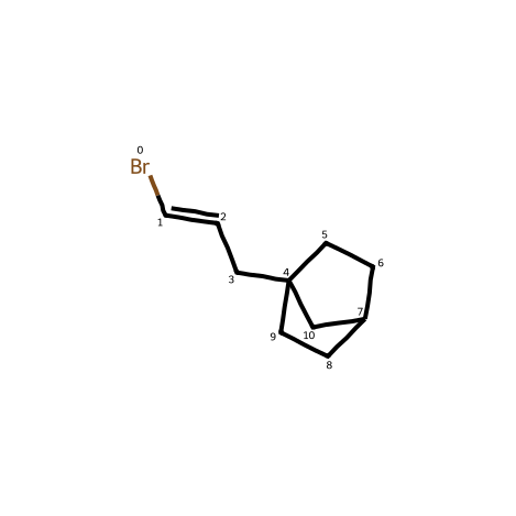 BrC=CCC12CCC(CC1)C2